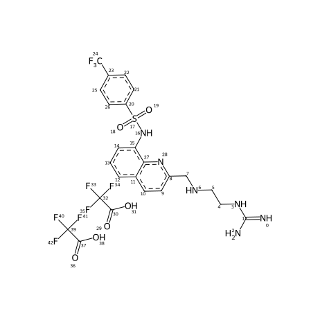 N=C(N)NCCNCc1ccc2cccc(NS(=O)(=O)c3ccc(C(F)(F)F)cc3)c2n1.O=C(O)C(F)(F)F.O=C(O)C(F)(F)F